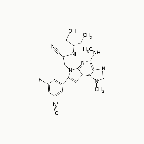 [C-]#[N+]c1cc(F)cc(-c2cc3c4c(ncn4C)c(NC)nc3n2CC(C#N)N[C@@H](CC)CO)c1